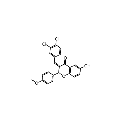 COc1ccc(C2Oc3ccc(O)cc3C(=O)C2=Cc2ccc(Cl)c(Cl)c2)cc1